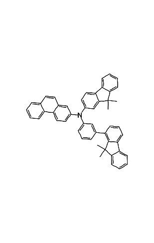 CC1(C)c2ccccc2-c2ccc(N(c3cccc(-c4cccc5c4C(C)(C)c4ccccc4-5)c3)c3ccc4c(ccc5ccccc54)c3)cc21